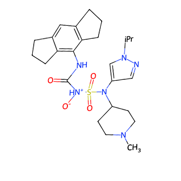 CC(C)n1cc(N(C2CCN(C)CC2)S(=O)(=O)[NH+]([O-])C(=O)Nc2c3c(cc4c2CCC4)CCC3)cn1